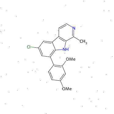 COc1ccc(-c2cc(Cl)cc3c2[nH]c2c(C)nccc23)c(OC)c1